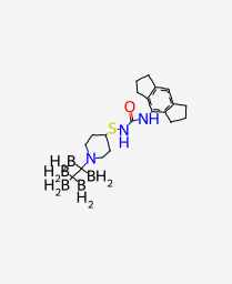 BC(B)(B)C(B)(B)N1CCC(SNC(=O)Nc2c3c(cc4c2CCC4)CCC3)CC1